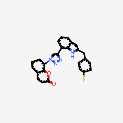 O=c1ccc2cccc(-n3cc(-c4cccc5cc(Cc6ccc(F)cc6)[nH]c45)nn3)c2o1